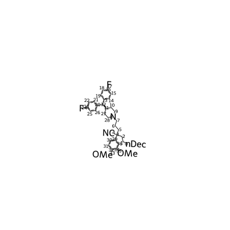 CCCCCCCCCCCCC(C#N)(CCCN1CCC(=C(c2ccc(F)cc2)c2ccc(F)cc2)CC1)c1ccc(OC)c(OC)c1